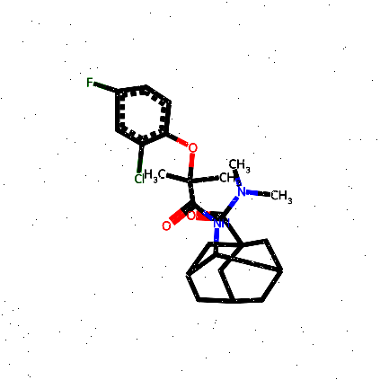 CN(C)C(=O)C12CC3CC(C1)C(NC(=O)C(C)(C)Oc1ccc(F)cc1Cl)C(C3)C2